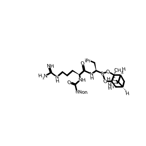 CCCCCCCCCC(=O)N[C@@H](CCCNC(=N)N)C(=O)N[C@@H](CC(C)C)B1O[C@@H]2C[C@@H]3C[C@@H](C3(C)C)[C@]2(C)O1